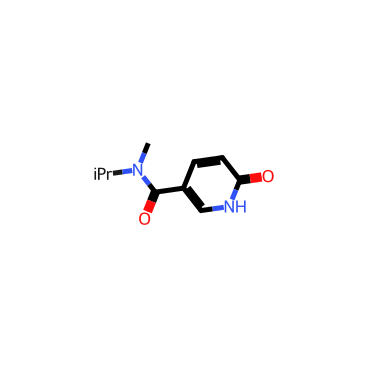 CC(C)N(C)C(=O)c1ccc(=O)[nH]c1